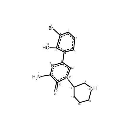 Nc1nc(-c2cccc(Br)c2O)cn(C2CCCNC2)c1=O